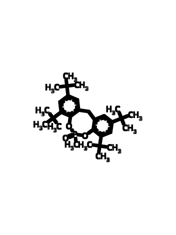 CC(C)(C)c1cc2c(c(C(C)(C)C)c1)OP(C)(=O)Oc1c(cc(C(C)(C)C)cc1C(C)(C)C)C2